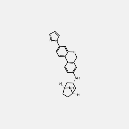 c1cnn(-c2ccc3c(c2)OCc2cc(N[C@@H]4C[C@H]5CC[C@@H](C4)N5)ccc2-3)c1